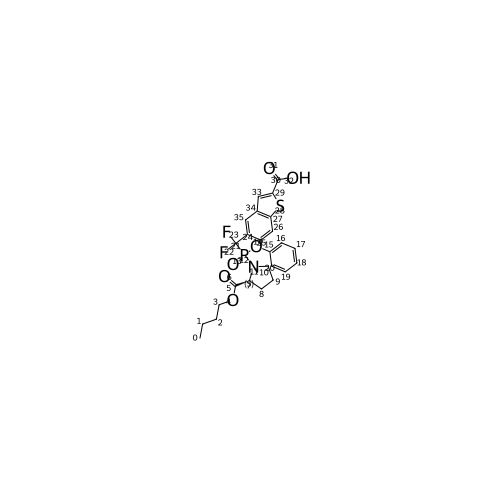 CCCCOC(=O)[C@@H]1CCCN1P(=O)(Oc1ccccc1)C(F)(F)c1ccc2sc(C(=O)O)cc2c1